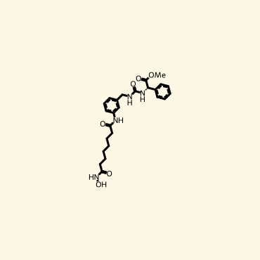 COC(=O)[C@@H](NC(=O)NCc1cccc(NC(=O)CCCCCCC(=O)NO)c1)c1ccccc1